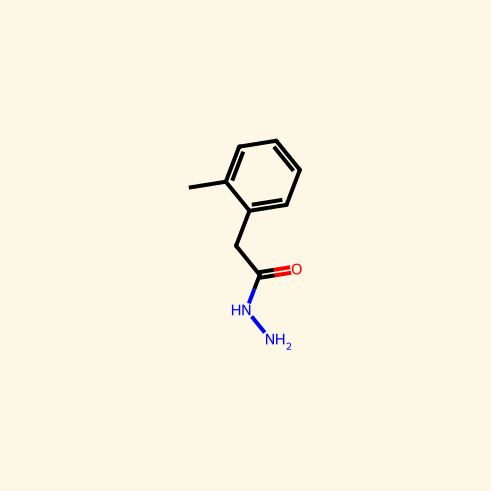 Cc1ccccc1CC(=O)NN